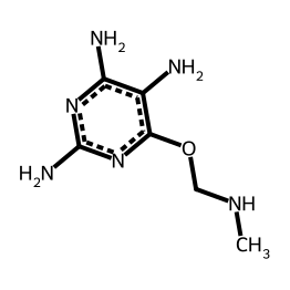 CNCOc1nc(N)nc(N)c1N